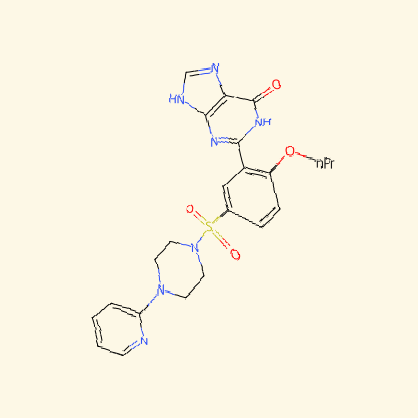 CCCOc1ccc(S(=O)(=O)N2CCN(c3ccccn3)CC2)cc1-c1nc2[nH]cnc2c(=O)[nH]1